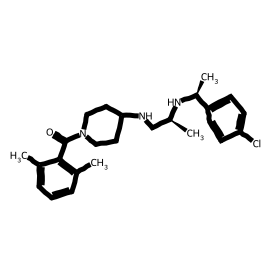 Cc1cccc(C)c1C(=O)N1CCC(NC[C@H](C)N[C@@H](C)c2ccc(Cl)cc2)CC1